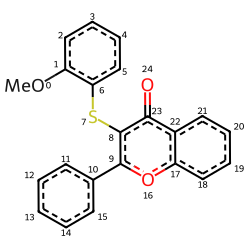 COc1ccccc1Sc1c(-c2ccccc2)oc2ccccc2c1=O